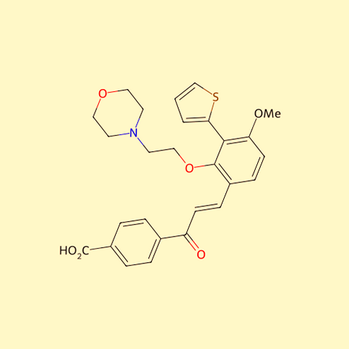 COc1ccc(/C=C/C(=O)c2ccc(C(=O)O)cc2)c(OCCN2CCOCC2)c1-c1cccs1